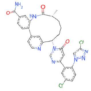 C[C@@H]1CCC[C@H](n2cnc(-c3cc(Cl)ccc3-n3cc(Cl)nn3)cc2=O)c2cc(ccn2)-c2ccc(C(N)=O)cc2NC1=O